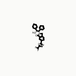 O=C1c2cc(-c3nnc(C(F)F)o3)ccc2CN1[C@@H](c1ccccc1)[C@H](O)c1ccccc1